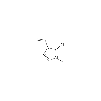 C=CN1C=CN(C)C1Cl